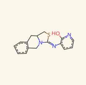 Oc1ncccc1N=C1SCC2Cc3ccccc3CN12